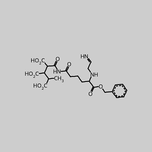 CC(C(=O)O)C(C(=O)O)C(C(=O)O)C(=O)NC(=O)CCCC(NCC=N)C(=O)OCc1ccccc1